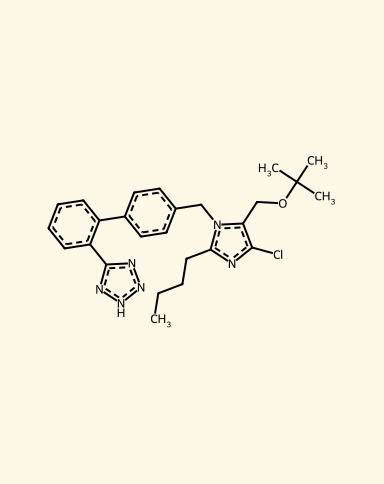 CCCCc1nc(Cl)c(COC(C)(C)C)n1Cc1ccc(-c2ccccc2-c2nn[nH]n2)cc1